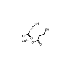 O=C([O-])CCS.O=C([O-])CCS.[Co+2]